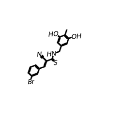 Cc1c(O)cc(CNC(=S)/C(C#N)=C/c2cccc(Br)c2)cc1O